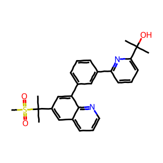 CC(C)(O)c1cccc(-c2cccc(-c3cc(C(C)(C)S(C)(=O)=O)cc4cccnc34)c2)n1